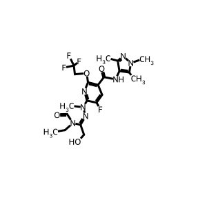 CCN(C=O)/C(CO)=N\N(C)c1nc(OCC(F)(F)F)c(C(=O)Nc2c(C)nn(C)c2C)cc1F